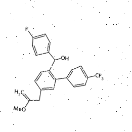 C=C(Cc1ccc(C(O)c2ccc(F)cc2)c(-c2ccc(C(F)(F)F)cc2)c1)OC